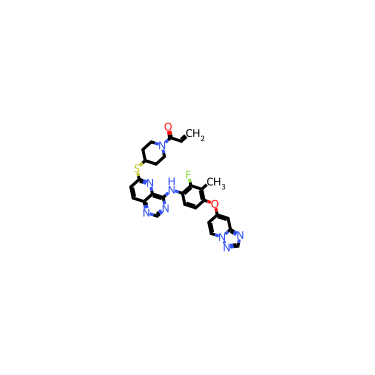 C=CC(=O)N1CCC(Sc2ccc3ncnc(Nc4ccc(Oc5ccn6ncnc6c5)c(C)c4F)c3n2)CC1